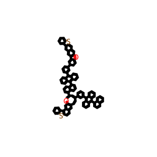 C1=c2oc3cc4cc5sc6ccccc6c5cc4cc3c2=CC(c2cccc(-c3c4ccccc4c(-c4cccc5c(-c6coc7cc8c(ccc9sc%10ccccc%10c98)cc7ccc(-c7cccc(-c8c9ccccc9c(-c9cccc%10ccccc9%10)c9ccccc89)c7)c6)cccc45)c4ccccc34)c2)C1